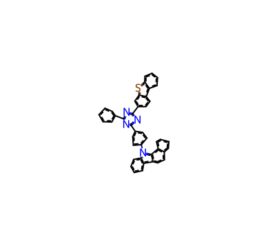 c1ccc(-c2nc(-c3ccc(-n4c5ccccc5c5ccc6ccccc6c54)cc3)nc(-c3ccc4c(c3)sc3ccccc34)n2)cc1